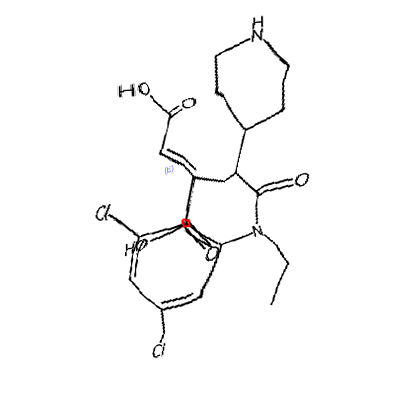 CCN(C(=O)C(/C(=C\C(=O)O)C(=O)O)C1CCNCC1)c1cc(Cl)cc(Cl)c1